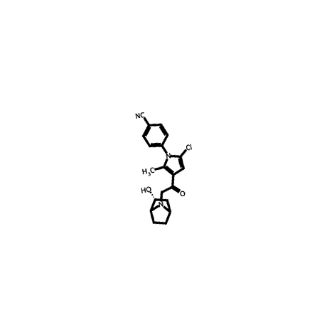 Cc1c(C(=O)CN2C3CCC2[C@H](O)C3)cc(Cl)n1-c1ccc(C#N)cc1